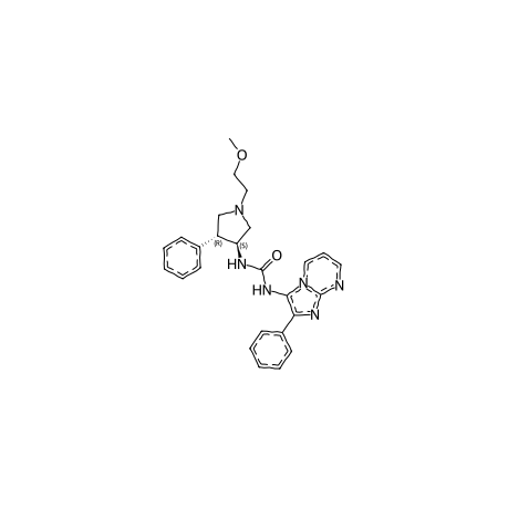 COCCN1C[C@@H](NC(=O)Nc2c(-c3ccccc3)nc3ncccn23)[C@H](c2ccccc2)C1